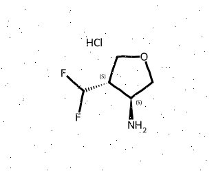 Cl.N[C@@H]1COC[C@H]1C(F)F